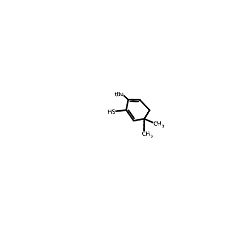 CC1(C)C=C(S)C(C(C)(C)C)=CC1